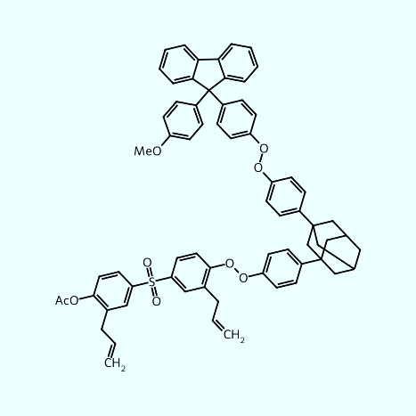 C=CCc1cc(S(=O)(=O)c2ccc(OC(C)=O)c(CC=C)c2)ccc1OOc1ccc(C23CC4CC(CC(c5ccc(OOc6ccc(C7(c8ccc(OC)cc8)c8ccccc8-c8ccccc87)cc6)cc5)(C4)C2)C3)cc1